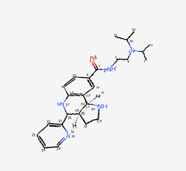 CC(C)N(CCNC(=O)c1ccc2c(c1)[C@H]1NCC[C@H]1C(c1ccccn1)N2)C(C)C